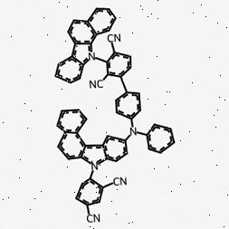 N#Cc1ccc(-n2c3ccc(N(c4ccccc4)c4ccc(-c5ccc(C#N)c(-n6c7ccccc7c7ccc8ccccc8c76)c5C#N)cc4)cc3c3c4ccccc4ccc32)c(C#N)c1